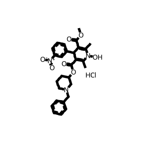 COC(=O)C1=C(C)N(O)C(C)=C(C(=O)OC2CCCN(Cc3ccccc3)C2)C1c1cccc([N+](=O)[O-])c1.Cl